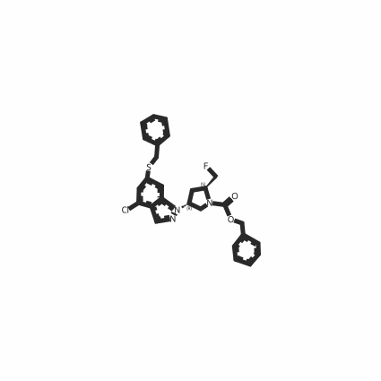 O=C(OCc1ccccc1)N1C[C@H](n2ncc3c(Cl)cc(SCc4ccccc4)cc32)C[C@H]1CF